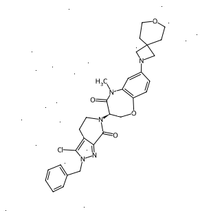 CN1C(=O)[C@H](N2CCc3c(nn(Cc4ccccc4)c3Cl)C2=O)COc2ccc(N3CC4(CCOCC4)C3)cc21